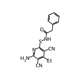 CCc1c(C#N)c(N)nc(SNC(=O)Cc2ccccc2)c1C#N